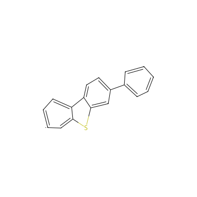 [c]1ccc2c(c1)sc1cc(-c3ccccc3)ccc12